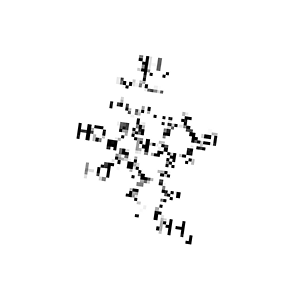 Nc1ccc([C@H]2[C@@H](O)[C@H](O)[C@H](c3ccc(N)cc3)N2c2ccc(F)cc2)cc1